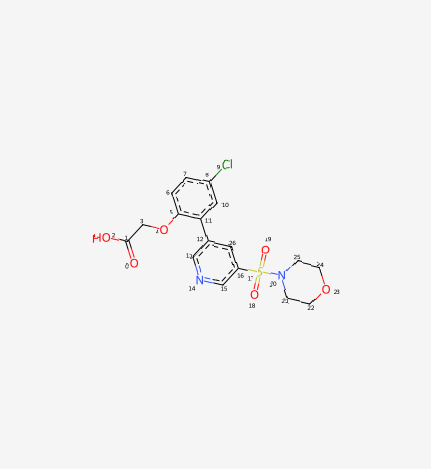 O=C(O)COc1ccc(Cl)cc1-c1cncc(S(=O)(=O)N2CCOCC2)c1